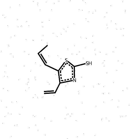 C=Cc1nc(S)sc1/C=C\C